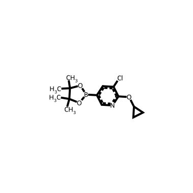 CC1(C)OB(c2cnc(OC3CC3)c(Cl)c2)OC1(C)C